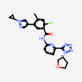 Cc1cc(F)c(C(=O)Nc2cccc(-c3nnnn3[C@@H]3CCOC3)n2)cc1-c1cnn(C2CC2)c1